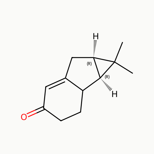 CC1(C)[C@@H]2CC3=CC(=O)CCC3[C@@H]21